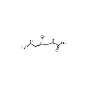 CNC[C@H](O)CNC(C)=O